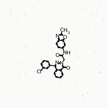 Cc1nc2ccc(NC(=O)Cn3nc(-c4cccc(Cl)c4)c4ccccc4c3=O)cc2o1